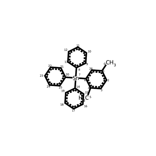 Cc1ccc(C)[c]([Sn]([c]2ccccc2)([c]2ccccc2)[c]2ccccc2)c1